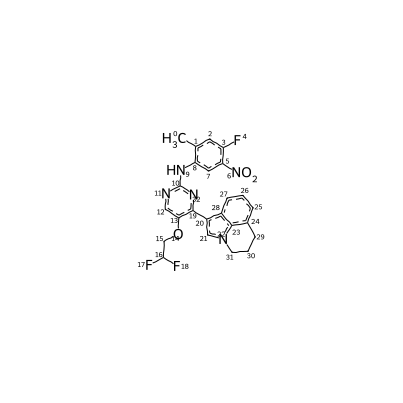 Cc1cc(F)c([N+](=O)[O-])cc1Nc1ncc(OCC(F)F)c(-c2cn3c4c(cccc24)CCC3)n1